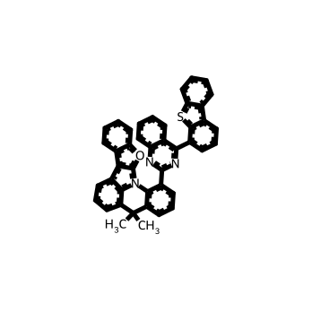 CC1(C)c2cccc(-c3nc(-c4cccc5c4sc4ccccc45)c4ccccc4n3)c2-n2c3oc4ccccc4c3c3cccc1c32